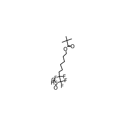 CC(C)(C)C(=O)OCCCCCCC(F)(F)C(F)(F)[SH](=O)=O